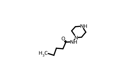 CCCCC(=O)NN1CCNCC1